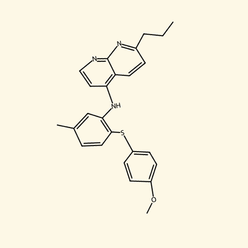 CCCc1ccc2c(Nc3cc(C)ccc3Sc3ccc(OC)cc3)ccnc2n1